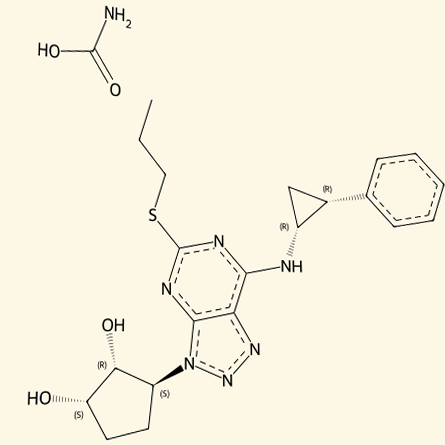 CCCSc1nc(N[C@@H]2C[C@@H]2c2ccccc2)c2nnn([C@H]3CC[C@H](O)[C@@H]3O)c2n1.NC(=O)O